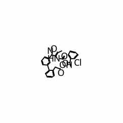 Cc1onc(-c2cccc(-c3ccccc3CC(=O)O)c2)c1NC(=O)OC(C)c1ccccc1Cl